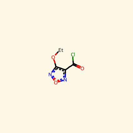 CCOc1nonc1C(=O)Cl